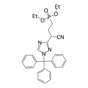 CCOP(=O)(CCC(C#N)c1ncn(C(c2ccccc2)(c2ccccc2)c2ccccc2)n1)OCC